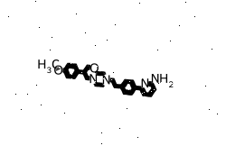 COc1ccc(C(C=O)CN2CCN(CCc3ccc(-c4cccc(N)n4)cc3)CC2)cc1